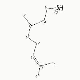 CC(C)=CCCC(C)CCS